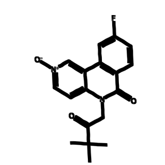 CC(C)(C)C(=O)Cn1c(=O)c2ccc(F)cc2c2c[n+]([O-])ccc21